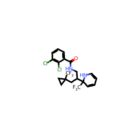 O=C(NCC(CC1(C(F)(F)F)CC1)C1(C(F)(F)F)C=CC=CN1)c1cccc(Cl)c1Cl